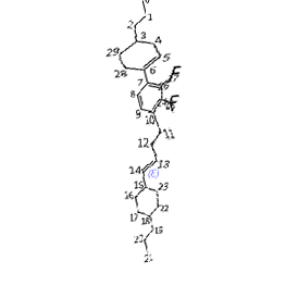 CCCC1CC=C(c2ccc(CC/C=C/C3CCC(CCC)CC3)c(F)c2F)CC1